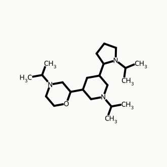 CC(C)N1CC(C2CN(C(C)C)CCO2)CC(C2CCCN2C(C)C)C1